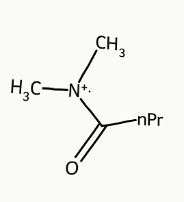 [CH2]CCC(=O)[N+](C)C